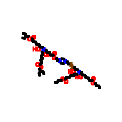 CCCCOC(=O)CCCCC(O)CN(CCCSSCCN1CCN(CCOC(=O)CCCCN(CC(O)CCCCC(=O)OCC(CC)CC)CC(O)CCCCC(=O)OCC(CC)CC)CC1)CC(O)CCCCC(=O)OCCCC